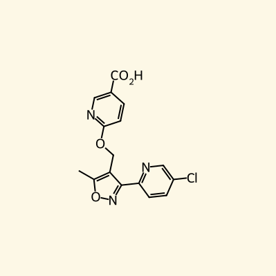 Cc1onc(-c2ccc(Cl)cn2)c1COc1ccc(C(=O)O)cn1